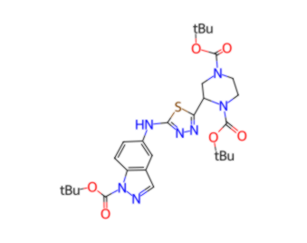 CC(C)(C)OC(=O)N1CCN(C(=O)OC(C)(C)C)C(c2nnc(Nc3ccc4c(cnn4C(=O)OC(C)(C)C)c3)s2)C1